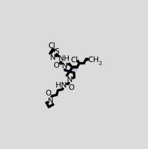 C=CCC(Cl)/C=C1\CN(C(=O)Nc2ncc(Cl)s2)CC12CCN(C(=O)NCCCC(=O)N1CCC1)C2